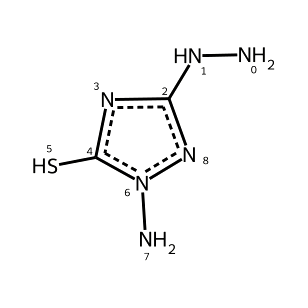 NNc1nc(S)n(N)n1